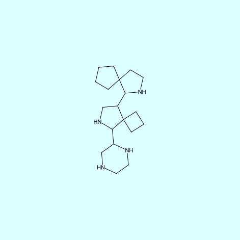 C1CCC2(C1)CCNC2C1CNC(C2CNCCN2)C12CCC2